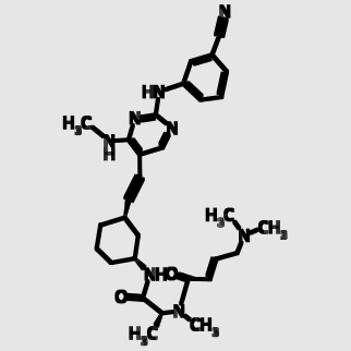 CNc1nc(Nc2cccc(C#N)c2)ncc1C#C[C@@H]1CCC[C@H](NC(=O)[C@H](C)N(C)C(=O)C=CCN(C)C)C1